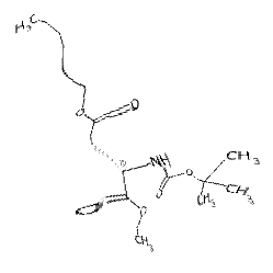 CCCCOC(=O)C[C@H](NC(=O)OC(C)(C)C)C(=O)OC